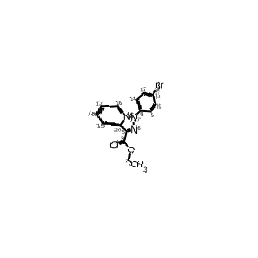 CCOC(=O)c1nn(-c2ccc(Br)cc2)[n+]2ccccc12